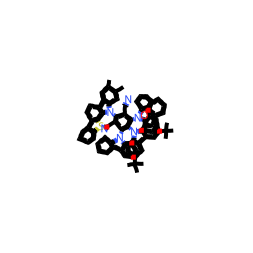 Cc1cc2c3ccc4c5ccccc5sc4c3n(-c3c(C#N)c(-n4c5ccccc5c5ccccc54)c(-n4c5ccc(C(C)(C)C)cc5c5cc(C(C)(C)C)c6c7ccccc7oc6c54)c(-n4c5ccccc5c5ccccc54)c3C#N)c2cc1C